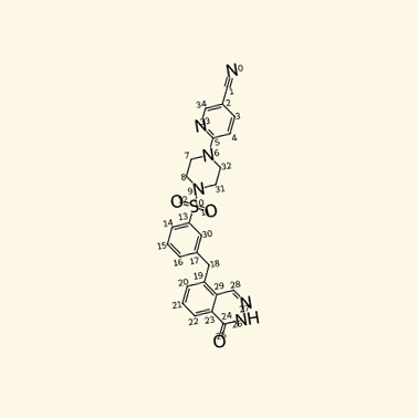 N#Cc1ccc(N2CCN(S(=O)(=O)c3cccc(Cc4cccc5c(=O)[nH]ncc45)c3)CC2)nc1